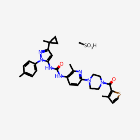 CS(=O)(=O)O.Cc1ccc(-n2nc(C3(C)CC3)cc2NC(=O)Nc2ccc(N3CCN(C(=O)c4sccc4C)CC3)nc2C)cc1